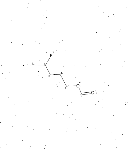 CC(F)CCCO[C]=O